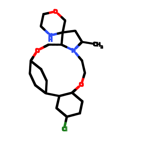 CC1CC2(COCCN2)C2COC3CCC(CC3)C3CC(Cl)CCC3OCCN12